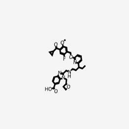 CCC(CCNCc1nc2ccc(C(=O)O)cc2n1CC1CCO1)c1cccc(OCc2cc(OC)c(C(=O)C3CC3)cc2F)n1